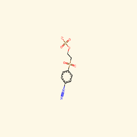 N#[N+]c1ccc(S(=O)(=O)CCOS(=O)(=O)[O-])cc1